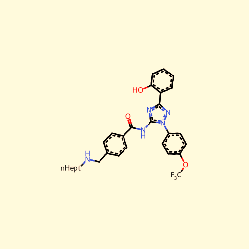 CCCCCCCNCc1ccc(C(=O)Nc2nc(-c3ccccc3O)nn2-c2ccc(OC(F)(F)F)cc2)cc1